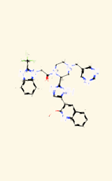 COc1nc2ccccc2cc1-c1cnc(C2CN(Cc3cncnc3)CCN2C(=O)Cn2c(C(F)(F)F)nc3ccccc32)[nH]1